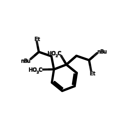 CCCCC(CC)CC1(C(=O)O)C=CC=CC1(CC(CC)CCCC)C(=O)O